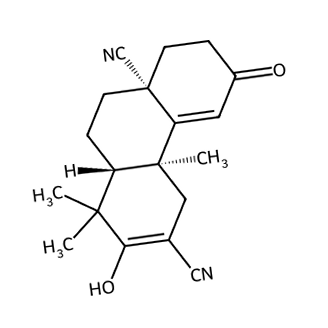 CC1(C)C(O)=C(C#N)C[C@]2(C)C3=CC(=O)CC[C@]3(C#N)CC[C@@H]12